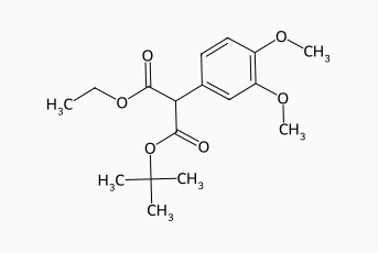 CCOC(=O)C(C(=O)OC(C)(C)C)c1ccc(OC)c(OC)c1